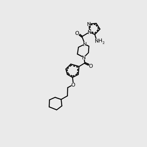 Nc1ccnn1C(=O)N1CCN(C(=O)c2cccc(OCCC3CCCCC3)c2)CC1